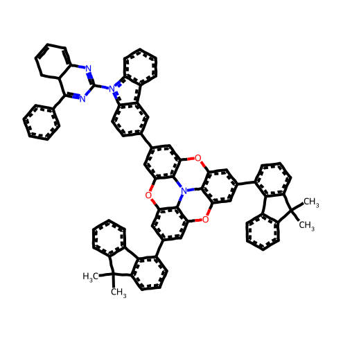 CC1(C)c2ccccc2-c2c(-c3cc4c5c(c3)Oc3cc(-c6cccc7c6-c6ccccc6C7(C)C)cc6c3N5c3c(cc(-c5ccc7c(c5)c5ccccc5n7C5=NC7=CC=CCC7C(c7ccccc7)=N5)cc3O6)O4)cccc21